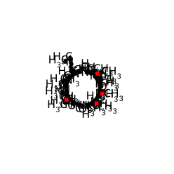 C/C=C/C[C@@H](C)[C@@H](O)[C@H]1C(=O)N[C@@H](CC)C(=O)N(C)[C@H](SCCCN(CC)CC)C(=O)N(C)[C@@H](C(C)C)C(=O)N[C@@H](C(C)C)C(=O)N(C)[C@@H](CC(C)C)C(=O)N[C@@H](C)C(=O)N[C@H](C)C(=O)N(C)[C@@H](CC(C)C)C(=O)N(C)[C@@H](CC(C)C)C(=O)N(C)[C@@H](C(C)C)C(=O)N1C